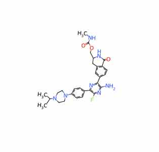 CNC(=O)OCC1Cc2cc(-c3nc(-c4ccc(N5CCN(C(C)C)CC5)cc4)c(F)nc3N)ccc2C(=O)N1